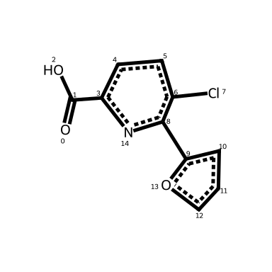 O=C(O)c1ccc(Cl)c(-c2ccco2)n1